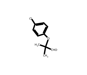 CC(C)([C]=O)Oc1ccc(Cl)cc1